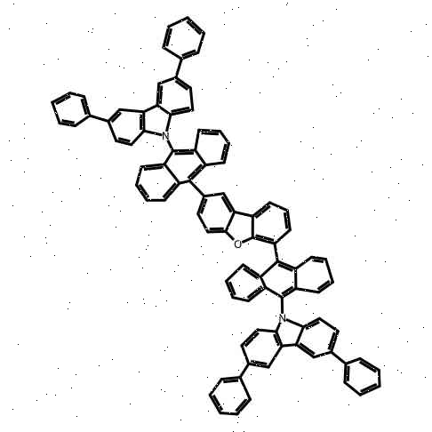 c1ccc(-c2ccc3c(c2)c2cc(-c4ccccc4)ccc2n3-c2c3ccccc3c(-c3ccc4oc5c(-c6c7ccccc7c(-n7c8ccc(-c9ccccc9)cc8c8cc(-c9ccccc9)ccc87)c7ccccc67)cccc5c4c3)c3ccccc23)cc1